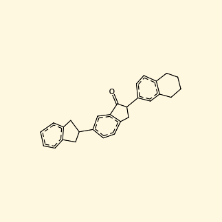 O=C1c2cc(C3Cc4ccccc4C3)ccc2CC1c1ccc2c(c1)CCCC2